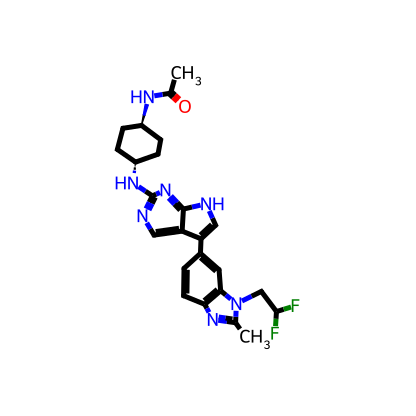 CC(=O)N[C@H]1CC[C@H](Nc2ncc3c(-c4ccc5nc(C)n(CC(F)F)c5c4)c[nH]c3n2)CC1